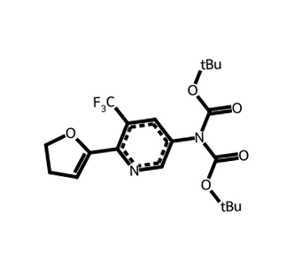 CC(C)(C)OC(=O)N(C(=O)OC(C)(C)C)c1cnc(C2=CCCO2)c(C(F)(F)F)c1